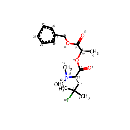 C[C@@H](OC(=O)[C@H](CC(C)(C)F)N(C)C=O)C(=O)OCc1ccccc1